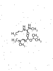 C=CCNC(=O)NC.CC(C)OC(=O)N=CN(C)C